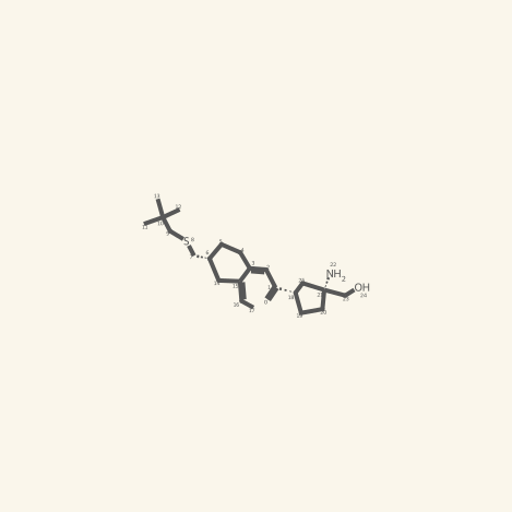 C=C(/C=C1/CC[C@@H](CSCC(C)(C)C)C/C1=C/C)[C@H]1CC[C@](N)(CO)C1